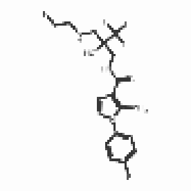 Nc1c(C(=O)NCC(O)(CNCCF)C(F)(F)F)cnn1-c1ccc(F)cc1